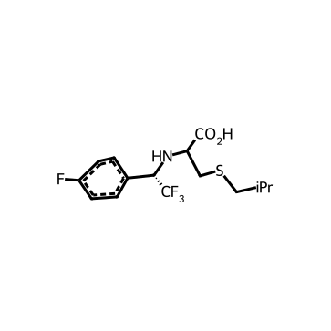 CC(C)CSCC(N[C@@H](c1ccc(F)cc1)C(F)(F)F)C(=O)O